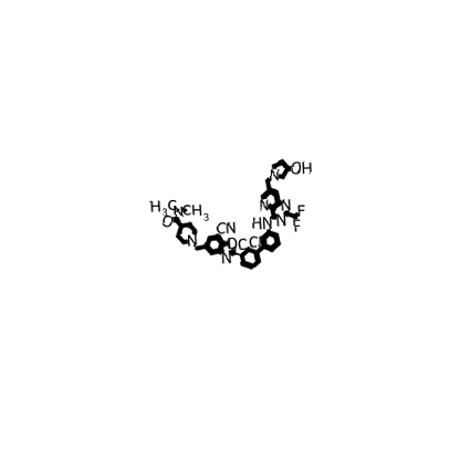 CN(C)C(=O)C1CCN(Cc2cc(C#N)c3oc([C@@H]4C=CC=C(c5cccc(Nc6nc(C(F)F)nc7cc(CN8CCC(O)C8)cnc67)c5)C4(C)C)nc3c2)CC1